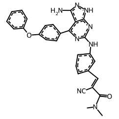 CN(C)C(=O)/C(C#N)=C/c1cccc(Nc2nc(-c3ccc(Oc4ccccc4)cc3)c3c(N)n[nH]c3n2)c1